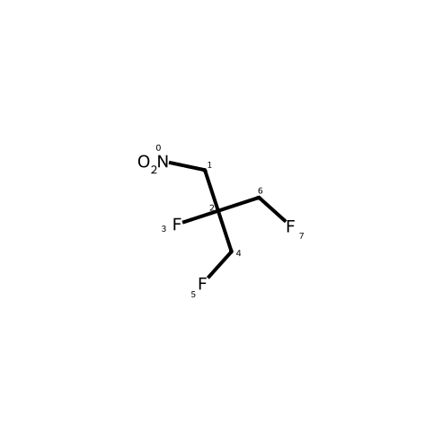 O=[N+]([O-])CC(F)(CF)CF